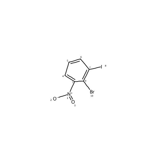 O=[N+]([O-])c1cccc(I)c1Br